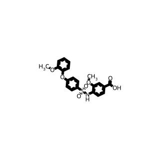 COc1cc(C(=O)O)ccc1NS(=O)(=O)c1ccc(Oc2ccccc2OC)cc1